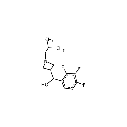 C[C](C)CN1CC(C(O)c2ccc(F)c(F)c2F)C1